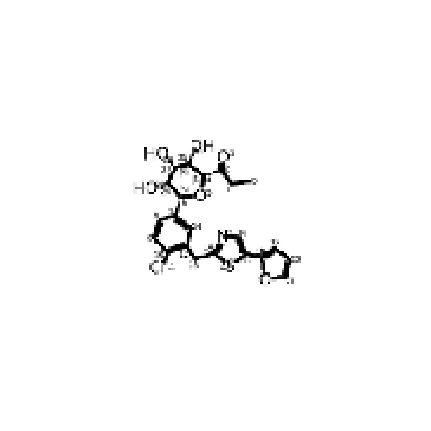 CCC(=O)[C@H]1O[C@@H](c2ccc(Cl)c(Cc3ncc(-c4ccco4)s3)c2)[C@H](O)[C@@H](O)[C@H]1O